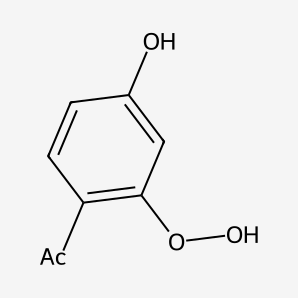 CC(=O)c1ccc(O)cc1OO